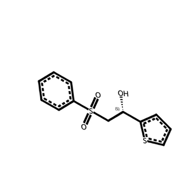 O=S(=O)(C[C@H](O)c1cccs1)c1ccccc1